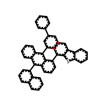 c1ccc(-c2cccc(-c3c4ccccc4c(-c4cccc5ccccc45)c4cccc(-c5cccc6c5sc5ccccc56)c34)c2)cc1